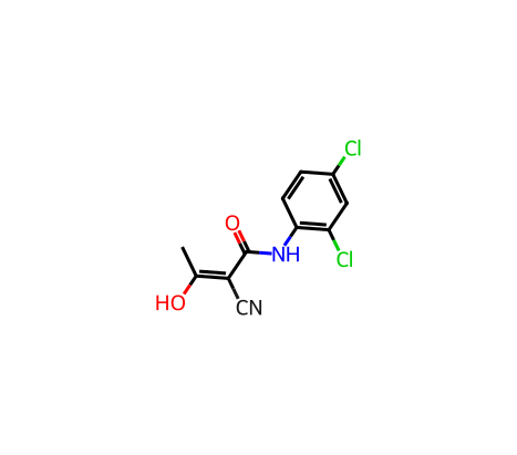 C/C(O)=C(/C#N)C(=O)Nc1ccc(Cl)cc1Cl